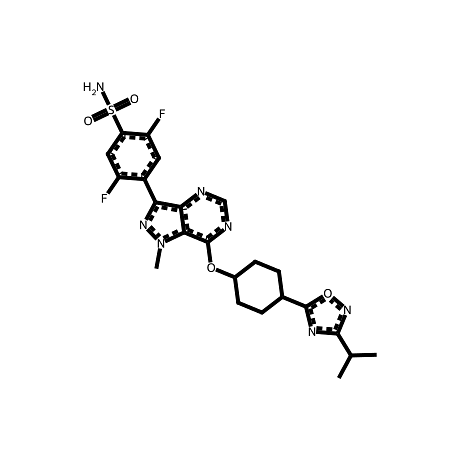 CC(C)c1noc(C2CCC(Oc3ncnc4c(-c5cc(F)c(S(N)(=O)=O)cc5F)nn(C)c34)CC2)n1